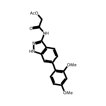 COc1ccc(-c2ccc3c(NC(=O)COC(C)=O)n[nH]c3c2)c(OC)c1